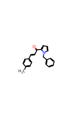 Cc1ccc(/C=C/C(=O)c2cccn2Cc2ccccc2)cc1